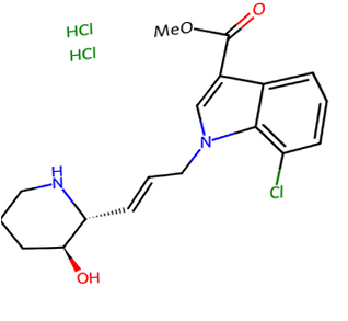 COC(=O)c1cn(C/C=C/[C@H]2NCCC[C@@H]2O)c2c(Cl)cccc12.Cl.Cl